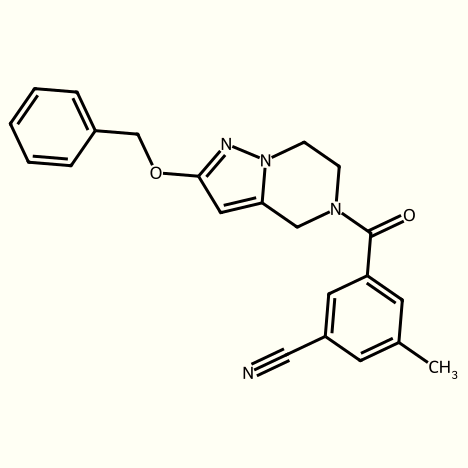 Cc1cc(C#N)cc(C(=O)N2CCn3nc(OCc4ccccc4)cc3C2)c1